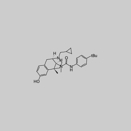 CN(C(=O)Nc1ccc(C(C)(C)C)cc1)[C@@H]1[C@H]2Cc3ccc(O)cc3[C@@]1(C)CCN2CC1CC1